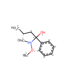 CC(C)(C)ON(C=O)C(O)(CCC(=O)O)c1ccccc1